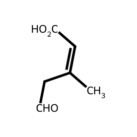 CC(=CC(=O)O)CC=O